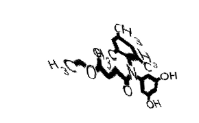 CCOC(=O)CCC(=O)N(c1cc(O)cc(O)c1)c1c(C)cc(C)cc1C